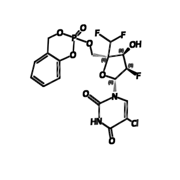 O=c1[nH]c(=O)n([C@@H]2O[C@@](COP3(=O)OCc4ccccc4O3)(C(F)F)[C@@H](O)[C@H]2F)cc1Cl